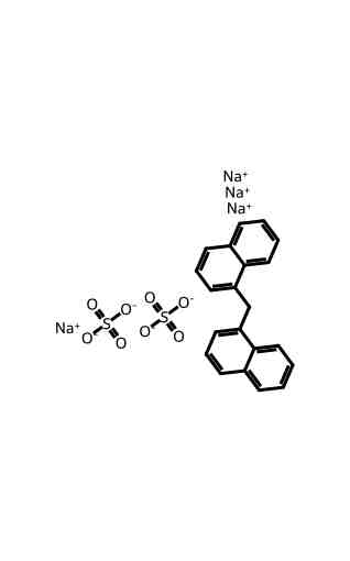 O=S(=O)([O-])[O-].O=S(=O)([O-])[O-].[Na+].[Na+].[Na+].[Na+].c1ccc2c(Cc3cccc4ccccc34)cccc2c1